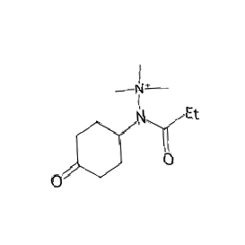 CCC(=O)N(C1CCC(=O)CC1)[N+](C)(C)C